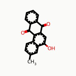 Cc1ccc2c3c(cc(O)c2c1)C(=O)c1ccccc1C3=O